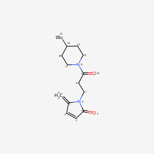 C=C1C=CC(=O)N1CCC(=O)N1CCC(C(C)(C)C)CC1